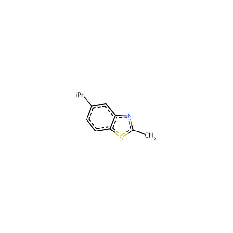 Cc1nc2cc(C(C)C)ccc2s1